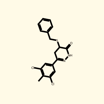 Cc1c(Cl)cc(C2=NNC(=O)C(SCc3ccccc3)C2)cc1Cl